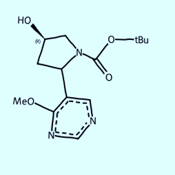 COc1ncncc1C1C[C@@H](O)CN1C(=O)OC(C)(C)C